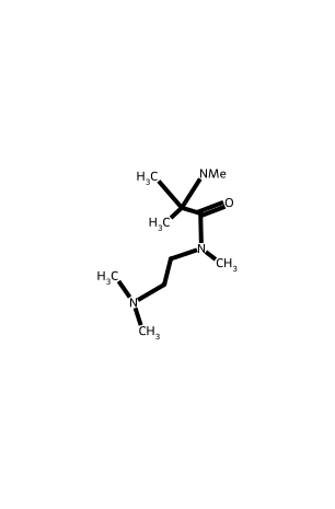 CNC(C)(C)C(=O)N(C)CCN(C)C